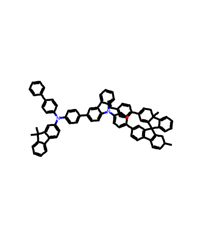 C=Cc1ccc(C2=CCC3(C)C(=C2)C2(C4=C(C=CC(C)C4)c4ccc(-c5ccc(-n6c7ccccc7c7cc(-c8ccc(N(c9ccc(-c%10ccccc%10)cc9)c9ccc%10c(c9)C(C)(C)c9ccccc9-%10)cc8)ccc76)cc5)cc42)c2ccccc23)cc1